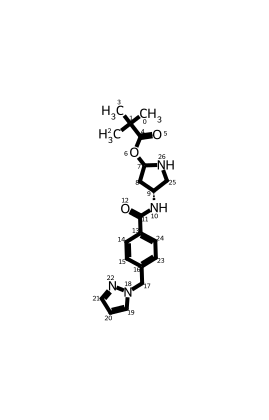 CC(C)(C)C(=O)OC1C[C@@H](NC(=O)c2ccc(Cn3cccn3)cc2)CN1